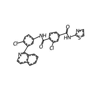 O=C(Nc1nccs1)c1ccc(C(=O)Nc2ccc(Cl)c(-c3nccc4ccccc34)c2)c(Cl)c1